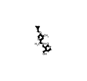 Cc1cc(C(C)NCc2c(CO)ccnc2Cl)ncc1OCC1CC1